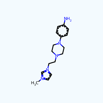 C[n+]1ccn(CCN2CCN(c3ccc(N)cc3)CC2)c1